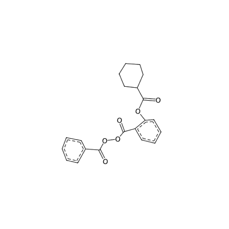 O=C(OOC(=O)c1ccccc1OC(=O)C1CCCCC1)c1ccccc1